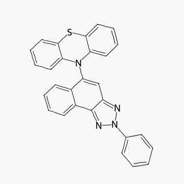 c1ccc(-n2nc3cc(N4c5ccccc5Sc5ccccc54)c4ccccc4c3n2)cc1